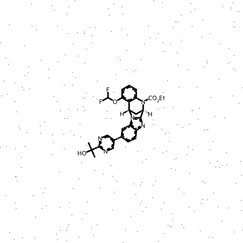 CCOC(=O)N1c2cccc(OC(F)F)c2[C@@H]2C[C@@H]1c1nc3ccc(-c4cnc(C(C)(C)O)nc4)cc3n12